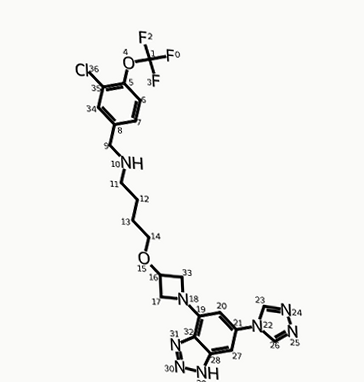 FC(F)(F)Oc1ccc(CNCCCCOC2CN(c3cc(-n4cnnc4)cc4[nH]nnc34)C2)cc1Cl